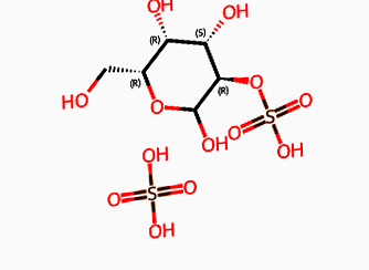 O=S(=O)(O)O.O=S(=O)(O)O[C@H]1C(O)O[C@H](CO)[C@H](O)[C@@H]1O